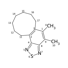 Cc1c2c(c3nsnc3c1C)CCCCCCC2